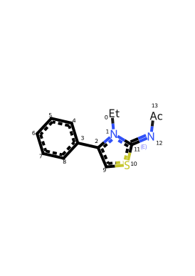 CCn1c(-c2ccccc2)cs/c1=N/C(C)=O